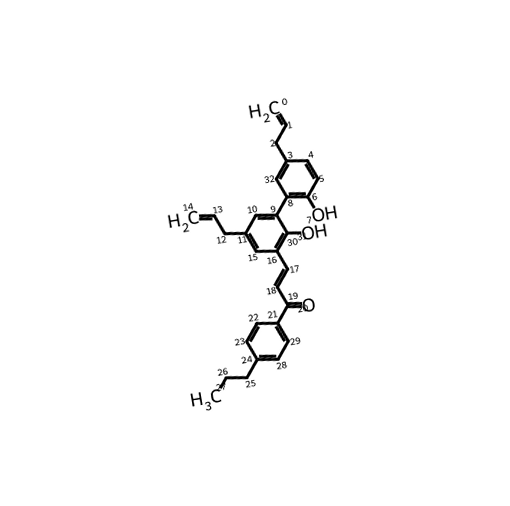 C=CCc1ccc(O)c(-c2cc(CC=C)cc(C=CC(=O)c3ccc(CCC)cc3)c2O)c1